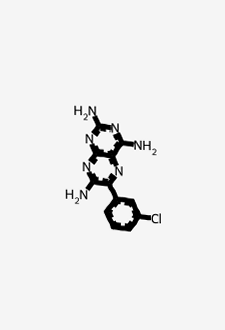 Nc1nc(N)c2nc(-c3cccc(Cl)c3)c(N)nc2n1